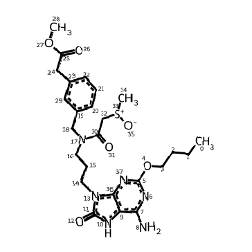 CCCCOc1nc(N)c2[nH]c(=O)n(CCCN(Cc3cccc(CC(=O)OC)c3)C(=O)C[S+](C)[O-])c2n1